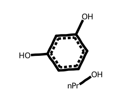 CCCO.Oc1cccc(O)c1